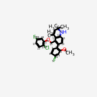 COc1cc(F)ccc1-c1ccc2c(c1COc1cc(F)ccc1Cl)C(C)=CC(C)(C)N2